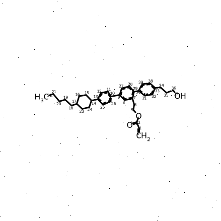 C=CC(=O)OCCc1cc(-c2ccc(C3CCC(CCCCC)CC3)cc2)ccc1-c1ccc(CCCO)cc1